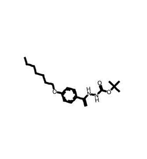 C=C(NNC(=O)OC(C)(C)C)c1ccc(OCCCCCCC)cc1